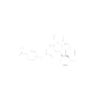 O=C(O)C1C=CC(CNC(=O)[C@@H]2NC3(CCCCC3)[C@@]3(C(=O)Nc4cc(Cl)ccc43)[C@H]2c2cccc(Cl)c2F)=CC1